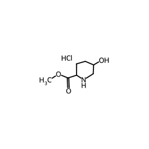 COC(=O)C1CCC(O)CN1.Cl